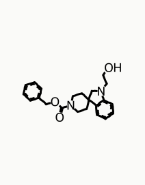 O=C(OCc1ccccc1)N1CCC2(CC1)CN(CCO)c1ccccc12